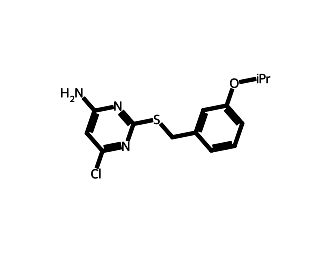 CC(C)Oc1cccc(CSc2nc(N)cc(Cl)n2)c1